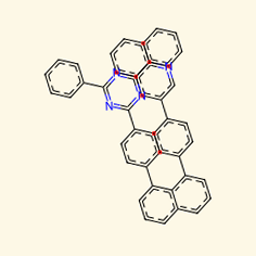 c1ccc(-c2nc(-c3ccccc3)nc(-c3ccc(-c4cccc5cccc(-c6ccc(-c7cnc8ccccc8c7)cc6)c45)cc3)n2)cc1